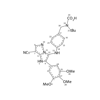 COc1cc(-c2[nH]c3c(C#N)cnn3c2Nc2ccc(CN(C(=O)O)C(C)(C)C)cc2)cc(OC)c1OC